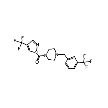 O=C(N1CCN(Cc2cccc(C(F)(F)F)c2)CC1)n1cc(C(F)(F)F)cn1